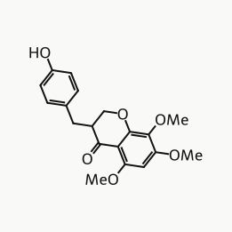 COc1cc(OC)c2c(c1OC)OCC(Cc1ccc(O)cc1)C2=O